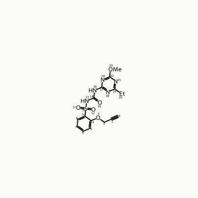 C#CCOc1ccccc1S(=O)(=O)NC(=O)Nc1nc(CC)nc(OC)n1